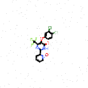 O=c1[nH]c(-c2cccc[n+]2[O-])nc(C(F)(F)F)c1Oc1ccc(Cl)c(Cl)c1